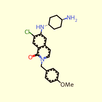 COc1ccc(Cn2ccc3cc(N[C@H]4CC[C@H](N)CC4)c(Cl)cc3c2=O)cc1